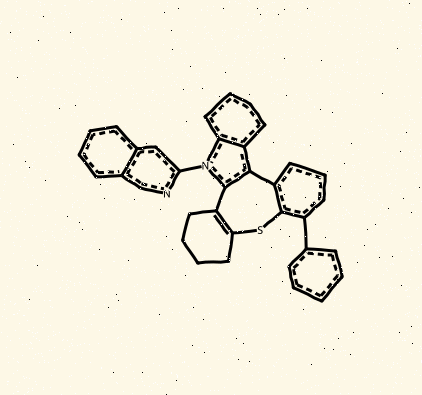 c1ccc(-c2cccc3c2SC2=C(CCCC2)c2c-3c3ccccc3n2-c2cc3ccccc3cn2)cc1